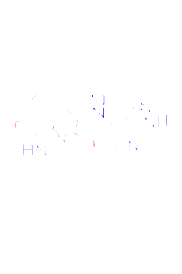 O=C1NC2(CCCCC2)n2c1c(Cl)cc(Nc1ccnc3[nH]ncc13)c2=O